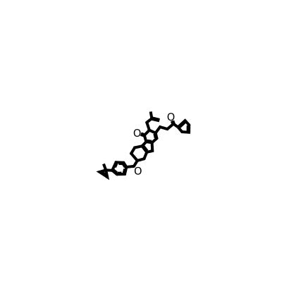 C=C(C)CC1C(=O)C2=C(C=C1CCC(=O)C1=CC=CC1)CC1=C2CCC(C(=O)c2ccc(C3(C)C=C3)cc2)C1